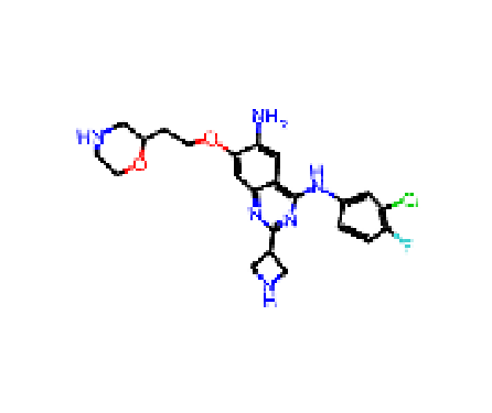 Nc1cc2c(Nc3ccc(F)c(Cl)c3)nc(C3CNC3)nc2cc1OCCC1CNCCO1